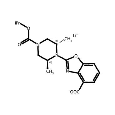 CC(C)OC(=O)N1C[C@H](C)N(c2nc3c(C(=O)[O-])cccc3o2)[C@@H](C)C1.[Li+]